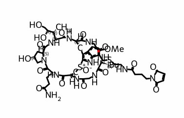 CC[C@H](C)[C@@H]1NC(=O)CNC(=O)[C@@H]2Cc3c([nH]c4c(CSCCNC(=O)CCCN5C(=O)C=CC5=O)c(OC)ccc34)[S+]([O-])C[C@H](NC(=O)CNC1=O)C(=O)N[C@@H](CCC(N)=O)C(=O)N1C[C@H](O)C[C@H]1C(=O)N[C@@H]([C@@H](C)[C@@H](O)CO)C(=O)N2